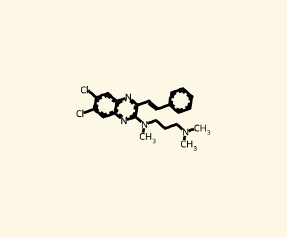 CN(C)CCCN(C)c1nc2cc(Cl)c(Cl)cc2nc1/C=C/c1ccccc1